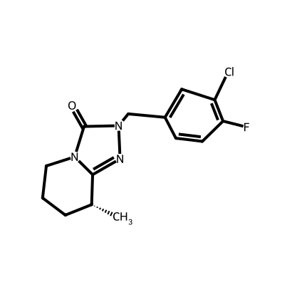 C[C@@H]1CCCn2c1nn(Cc1ccc(F)c(Cl)c1)c2=O